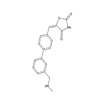 CNCc1cccc(-c2ccc(C=C3SC(=O)NC3=O)cc2)c1